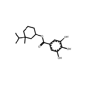 CC(C)C1(C)CCCC(OC(=O)c2cc(O)c(O)c(O)c2)C1